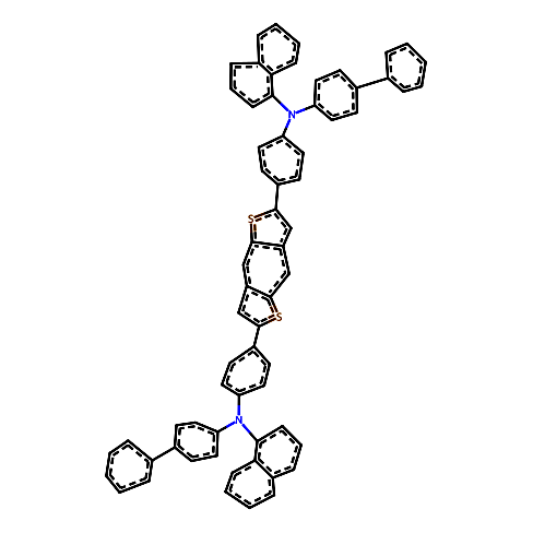 c1ccc(-c2ccc(N(c3ccc(-c4cc5cc6sc(-c7ccc(N(c8ccc(-c9ccccc9)cc8)c8cccc9ccccc89)cc7)cc6cc5s4)cc3)c3cccc4ccccc34)cc2)cc1